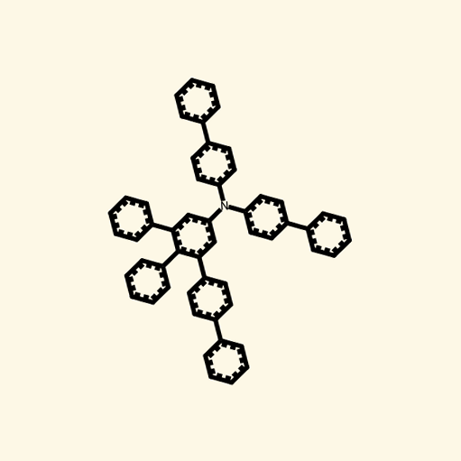 c1ccc(-c2ccc(-c3cc(N(c4ccc(-c5ccccc5)cc4)c4ccc(-c5ccccc5)cc4)cc(-c4ccccc4)c3-c3ccccc3)cc2)cc1